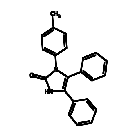 Cc1ccc(-n2c(-c3ccccc3)c(-c3ccccc3)[nH]c2=O)cc1